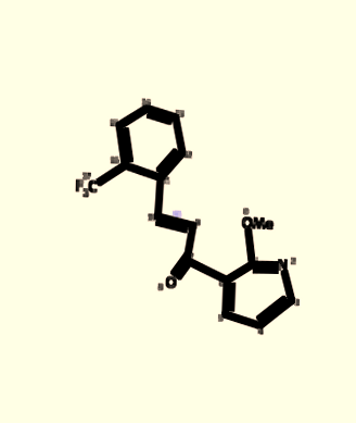 COc1ncccc1C(=O)/C=C/c1ccccc1C(F)(F)F